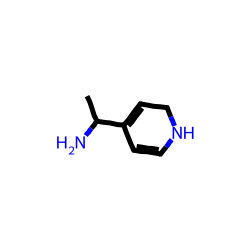 CC(N)C1=CCNC=C1